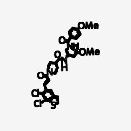 COC(=O)CC(CNC(=O)c1ccc(OC)cc1)NC(=O)C1CCN(C(=O)C=Cc2cc3ccsc3c(Cl)c2Cl)CC1